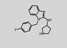 Fc1ccc(Cn2c(NC3CCNC3)nc3ccccc32)cc1